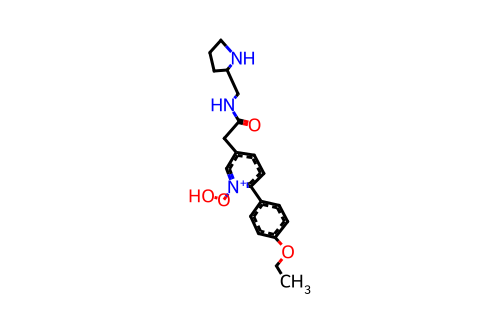 CCOc1ccc(-c2ccc(CC(=O)NCC3CCCN3)c[n+]2OO)cc1